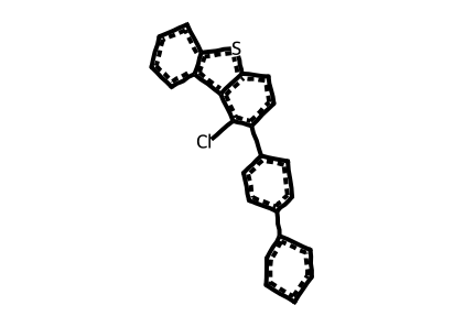 Clc1c(-c2ccc(-c3ccccc3)cc2)ccc2sc3ccccc3c12